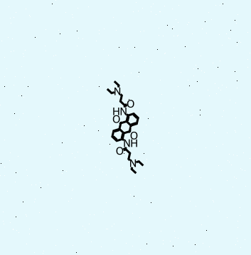 CCN(CC)CCC(=O)Nc1cccc2c1C(=O)c1cccc(NC(=O)CCN(CC)CC)c1C2=O